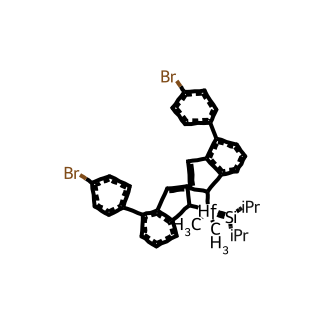 CC(C)[Si](C(C)C)=[Hf]([CH3])([CH3])([CH]1C=Cc2c(-c3ccc(Br)cc3)cccc21)[CH]1C=Cc2c(-c3ccc(Br)cc3)cccc21